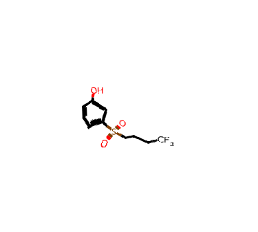 O=S(=O)(CCCC(F)(F)F)c1cccc(O)c1